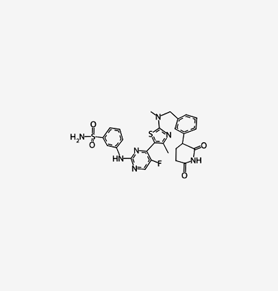 Cc1nc(N(C)Cc2cccc(C3CCC(=O)NC3=O)c2)sc1-c1nc(Nc2cccc(S(N)(=O)=O)c2)ncc1F